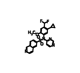 COc1cc(C(F)F)c(C2CC2)cc1N(c1ccncn1)S(=O)(=O)c1ccc2cnccc2c1